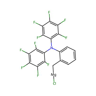 Fc1c(F)c(F)c(N(c2ccccc2[CH2][Mg][Cl])c2c(F)c(F)c(F)c(F)c2F)c(F)c1F